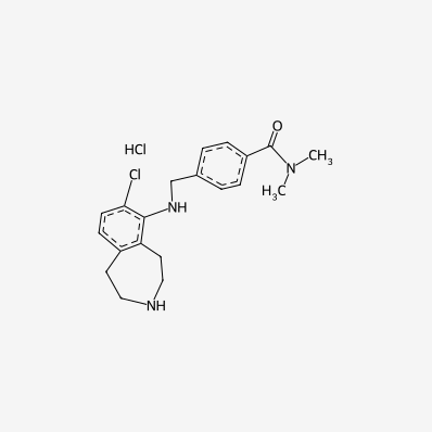 CN(C)C(=O)c1ccc(CNc2c(Cl)ccc3c2CCNCC3)cc1.Cl